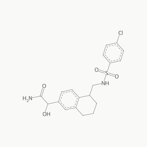 NC(=O)C(O)c1ccc2c(c1)CCCC2CNS(=O)(=O)c1ccc(Cl)cc1